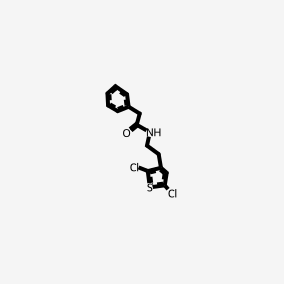 O=C(Cc1ccccc1)NCCc1cc(Cl)sc1Cl